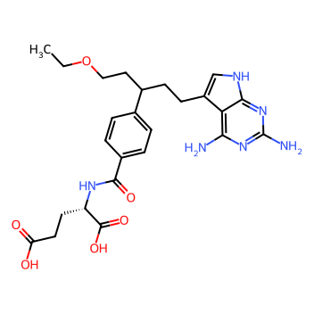 CCOCCC(CCc1c[nH]c2nc(N)nc(N)c12)c1ccc(C(=O)N[C@@H](CCC(=O)O)C(=O)O)cc1